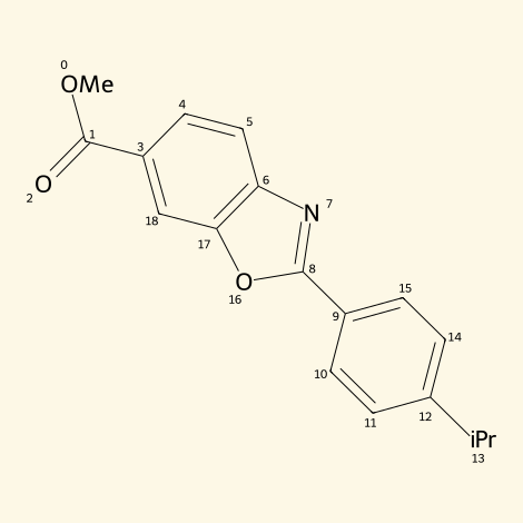 COC(=O)c1ccc2nc(-c3ccc(C(C)C)cc3)oc2c1